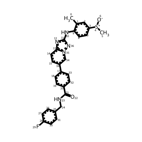 Cc1cc([S+](C)[O-])ccc1Nc1nc2ccc(-c3ccc(C(=O)NCc4ccc(F)cc4)cc3)cn2n1